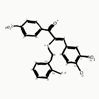 O=C(O)c1ccc(C(=O)C(=Cc2ccc(Cl)c([N+](=O)[O-])c2)SCc2ccccc2F)cc1